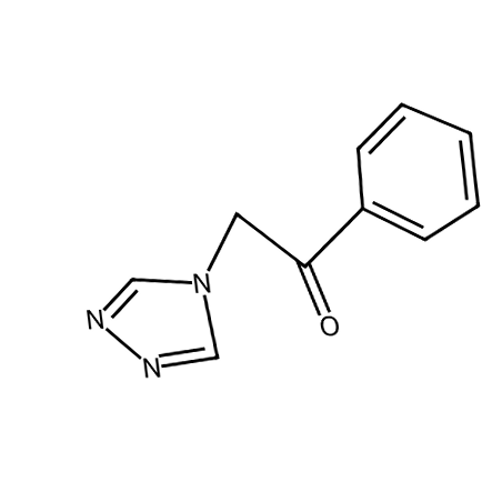 O=C(Cn1cnnc1)c1ccccc1